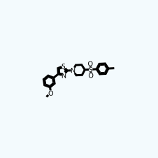 COc1cccc(-c2csc(N3CCC(S(=O)(=O)c4ccc(C)cc4)CC3)n2)c1